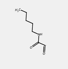 CCCCCNC(=O)[C]=O